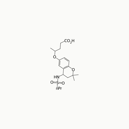 CCCS(=O)(=O)NC1CC(C)(C)Oc2ccc(OC(C)CCC(=O)O)cc21